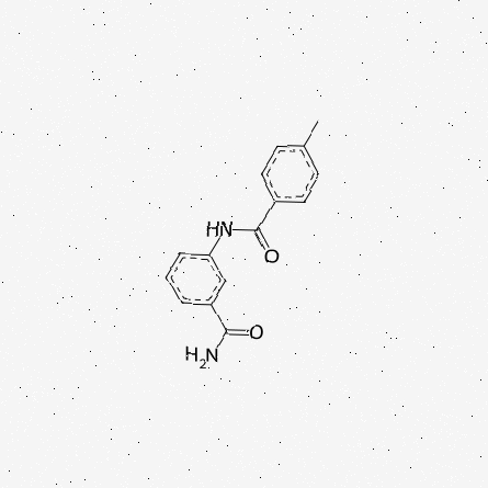 Cc1ccc(C(=O)Nc2cccc(C(N)=O)c2)cc1